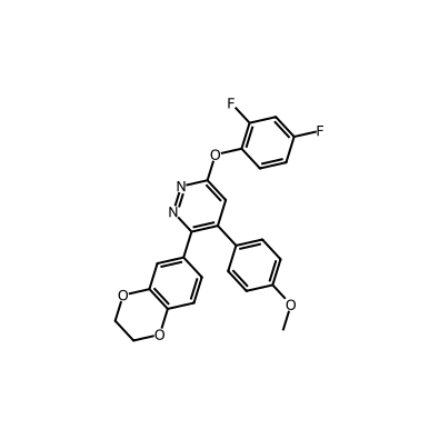 COc1ccc(-c2cc(Oc3ccc(F)cc3F)nnc2-c2ccc3c(c2)OCCO3)cc1